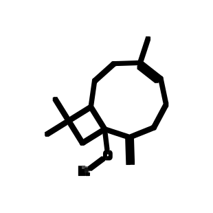 C=C1CCC=C(C)CCC2C(C)(C)CC12OCC